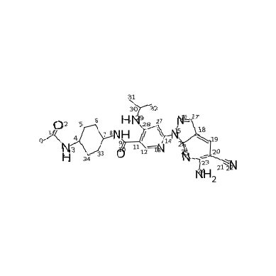 CC(=O)NC1CCC(NC(=O)c2cnc(-n3ncc4cc(C#N)c(N)nc43)cc2NC(C)C)CC1